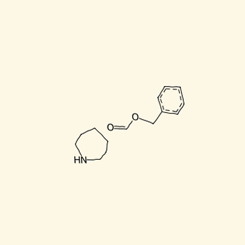 C1CCCNCC1.O=COCc1ccccc1